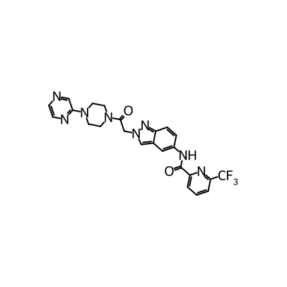 O=C(Nc1ccc2nn(CC(=O)N3CCN(c4cnccn4)CC3)cc2c1)c1cccc(C(F)(F)F)n1